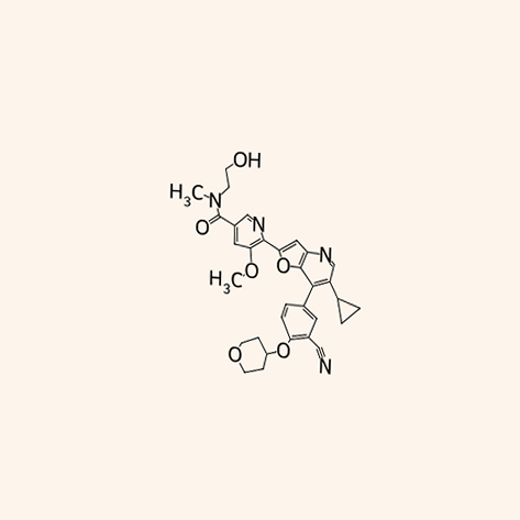 COc1cc(C(=O)N(C)CCO)cnc1-c1cc2ncc(C3CC3)c(-c3ccc(OC4CCOCC4)c(C#N)c3)c2o1